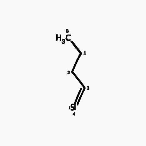 CCCC=[Si]